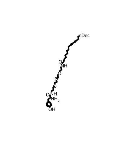 CCCCCCCCCCCCC#CC#CCCCCCCCCC(=O)NCCCOCCOCCOCCCNC(=O)[C@@H](N)Cc1ccc(O)cc1